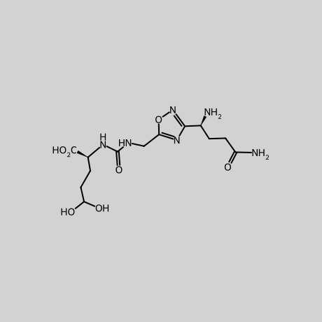 NC(=O)CC[C@H](N)c1noc(CNC(=O)N[C@@H](CCC(O)O)C(=O)O)n1